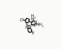 Cc1nc2ccc(F)cc2n1-c1nc(N)nc(N)c1-c1ccc(Cl)cc1